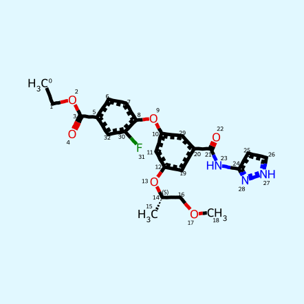 CCOC(=O)c1ccc(Oc2cc(O[C@@H](C)COC)cc(C(=O)Nc3cc[nH]n3)c2)c(F)c1